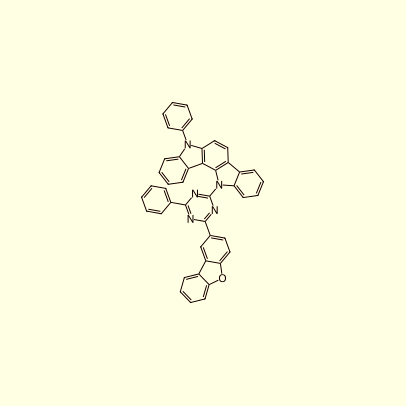 c1ccc(-c2nc(-c3ccc4oc5ccccc5c4c3)nc(-n3c4ccccc4c4ccc5c(c6ccccc6n5-c5ccccc5)c43)n2)cc1